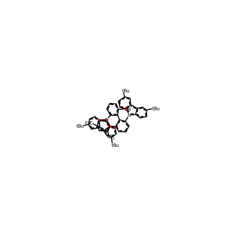 CC(C)(C)c1ccc2c(c1)c1cc(C(C)(C)C)ccc1n2-c1cccc(C#N)c1-c1c(-c2ccc(C(F)(F)F)cc2C(F)(F)F)cccc1-n1c2ccc(C(C)(C)C)cc2c2cc(C(C)(C)C)ccc21